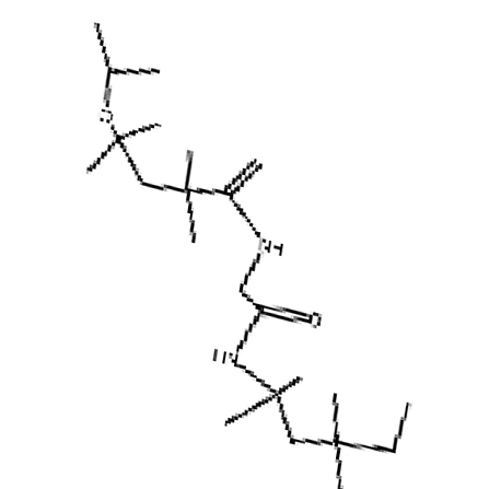 C=C(NCC(=O)NC(C)(C)CC(C)(C)CC)C(C)(C)CC(C)(C)OC(C)C